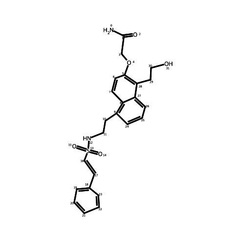 NC(=O)COc1ccc2c(CCNS(=O)(=O)C=Cc3ccccc3)cccc2c1CCO